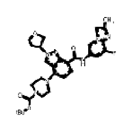 Cc1cn2cc(NC(=O)c3ccc(N4CCN(C(=O)OC(C)(C)C)CC4)c4cn(C5CCOC5)nc34)cc(F)c2n1